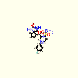 NS(=O)(=O)N1CCN(c2ccc(F)cc2)CC1CC1CCCC12NC(=O)NC2=O